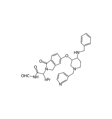 CCCC(C(=O)NC=O)N1Cc2cc(OC3CN(Cc4cccnc4)CCC3NCc3ccccc3)ccc2C1=O